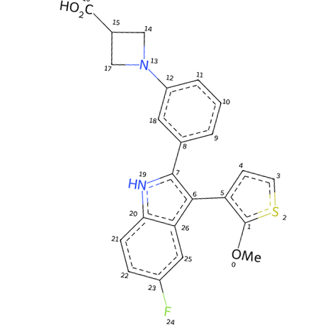 COc1sccc1-c1c(-c2cccc(N3CC(C(=O)O)C3)c2)[nH]c2ccc(F)cc12